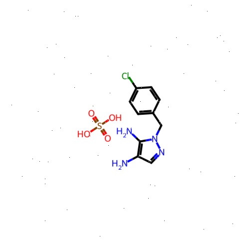 Nc1cnn(Cc2ccc(Cl)cc2)c1N.O=S(=O)(O)O